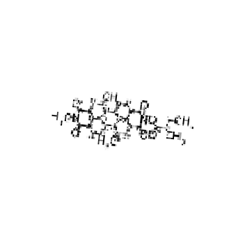 CCC(C)C(=O)ON1C(=O)c2ccc3c4c(C)cc5c6c(ccc(c7c(C)cc(c2c37)C1=O)c64)C(=O)N(C)C5=O